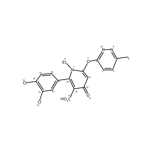 CCn1c(Oc2ccc(C)nn2)cc(=O)c(C(=O)O)c1-c1ccc(Cl)c(Cl)c1